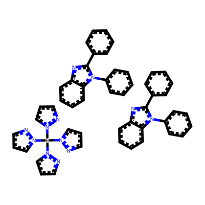 c1ccc(-c2nc3ccccc3n2-c2ccccc2)cc1.c1ccc(-c2nc3ccccc3n2-c2ccccc2)cc1.c1cnn([B-](n2cccn2)(n2cccn2)n2cccn2)c1